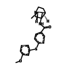 COc1cccc(Sc2ccc(C(=O)N[C@@H]3C4CCN(CC4)[C@H]3C)cc2)c1